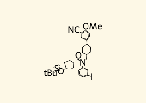 COc1ccc([C@H]2CC[C@H](CN(c3cccc(I)c3)C(=O)[C@H]3CC[C@H](O[Si](C)(C)C(C)(C)C)CC3)CC2)cc1C#N